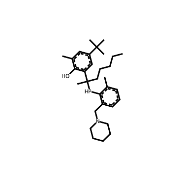 CCCCCC(C)(Pc1c(C)cccc1CN1CCCCC1)c1cc(C(C)(C)C)cc(C)c1O